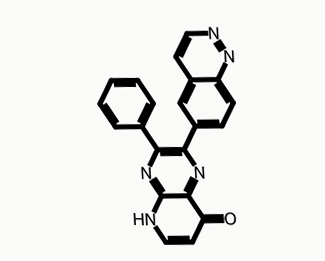 O=c1cc[nH]c2nc(-c3ccccc3)c(-c3ccc4nnccc4c3)nc12